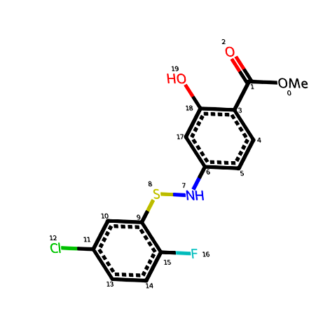 COC(=O)c1ccc(NSc2cc(Cl)ccc2F)cc1O